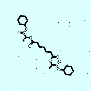 CC(OC(=O)CCCCCC(=O)OC(C)S(=O)OC1CCCCC1)S(=O)OC1CCCCC1